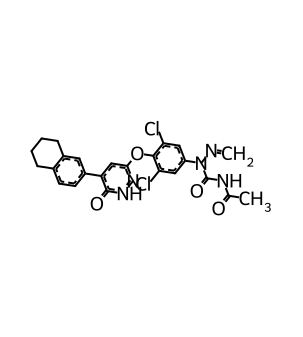 C=NN(C(=O)NC(C)=O)c1cc(Cl)c(Oc2cc(-c3ccc4c(c3)CCCC4)c(=O)[nH]n2)c(Cl)c1